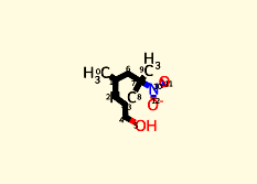 CC(CCCO)CC(C)(C)[N+](=O)[O-]